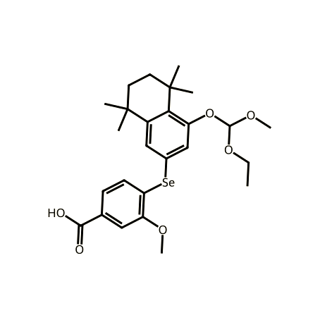 CCOC(OC)Oc1cc([Se]c2ccc(C(=O)O)cc2OC)cc2c1C(C)(C)CCC2(C)C